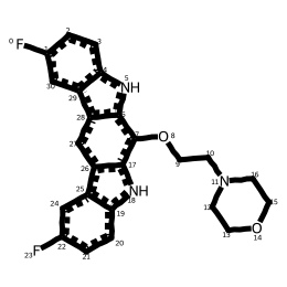 Fc1ccc2[nH]c3c(OCCN4CCOCC4)c4[nH]c5ccc(F)cc5c4cc3c2c1